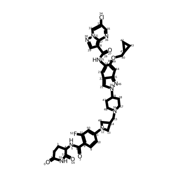 O=C1CCC(NC(=O)c2ccc(N3CC(CN4CCC(n5cc6cc(NC(=O)c7cnn8cc(Cl)cnc78)c(OCC7CC7)cc6n5)CC4)C3)cc2F)C(=O)N1